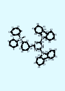 C[Si](c1ccccc1)(c1ccccc1)c1cccc(-c2nc(-n3c4ccccc4c4ccccc43)nc(-n3c4ccccc4c4ccccc43)n2)c1